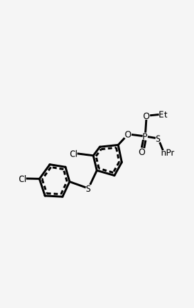 CCCSP(=O)(OCC)Oc1ccc(Sc2ccc(Cl)cc2)c(Cl)c1